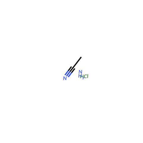 CC#N.Cl.N